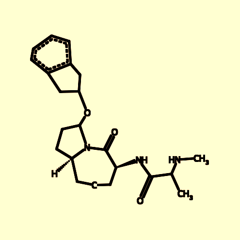 CNC(C)C(=O)N[C@H]1CCC[C@H]2CCC(OC3Cc4ccccc4C3)N2C1=O